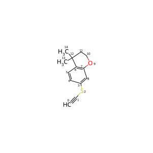 C#CSc1ccc2c(c1)OCCC2(C)C